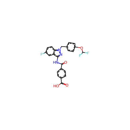 O=C(O)c1ccc(C(=O)Nc2nn(Cc3ccc(OC(F)F)cc3)c3ccc(F)cc23)cc1